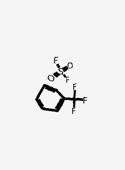 FC(F)(F)c1ccccc1.O=S(=O)(F)F